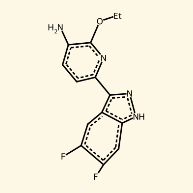 CCOc1nc(-c2n[nH]c3cc(F)c(F)cc23)ccc1N